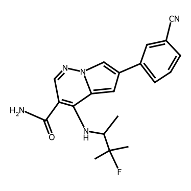 CC(Nc1c(C(N)=O)cnn2cc(-c3cccc(C#N)c3)cc12)C(C)(C)F